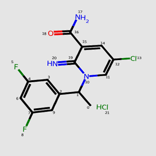 CC(c1cc(F)cc(F)c1)n1cc(Cl)cc(C(N)=O)c1=N.Cl